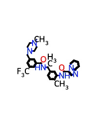 Cc1ccc([C@H](C)NC(=O)c2cc(CN3CCN(C)CC3)cc(C(F)(F)F)c2)cc1NC(=O)c1cnc2ccccn12